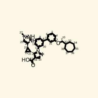 C[C@@H](Oc1cccc(-c2cccc(-n3ncc(C(=O)O)c3[C@@H]3C[C@H]3C3=CN(C)NN3)c2)c1)C1CCCCCC1